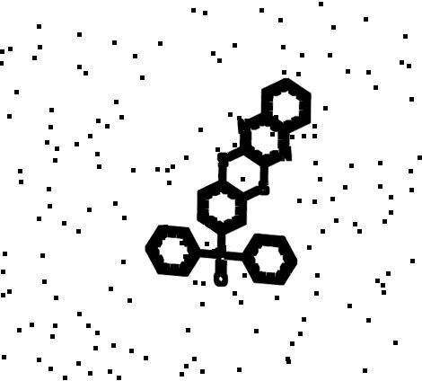 O=P(c1ccccc1)(c1ccccc1)c1ccc2c(c1)Sc1nc3ccccc3nc1S2